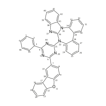 c1ccc(-c2nc(-c3ccc4oc5ccccc5c4c3)nc(N3c4ccccc4-c4ccccc4-n4c3nc3ccccc34)n2)cc1